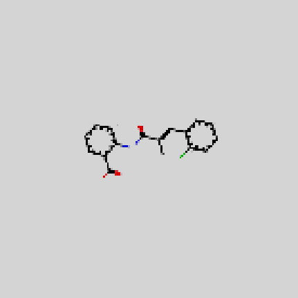 CC(=Cc1ccccc1Cl)C(=O)Nc1ccccc1C(=O)O